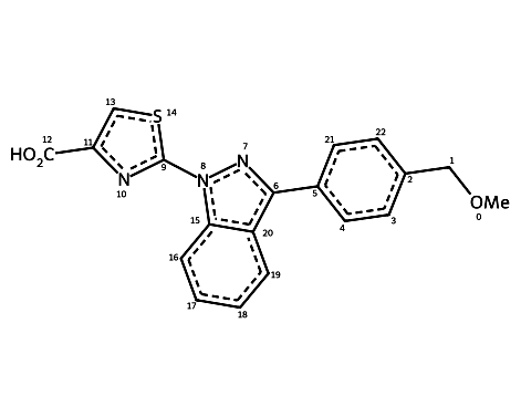 COCc1ccc(-c2nn(-c3nc(C(=O)O)cs3)c3ccccc23)cc1